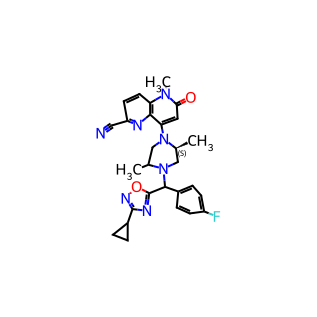 CC1CN(c2cc(=O)n(C)c3ccc(C#N)nc23)[C@@H](C)CN1C(c1ccc(F)cc1)c1nc(C2CC2)no1